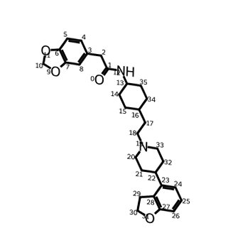 O=C(Cc1ccc2c(c1)OCO2)NC1CCC(CCN2CCC(c3cccc4c3CCO4)CC2)CC1